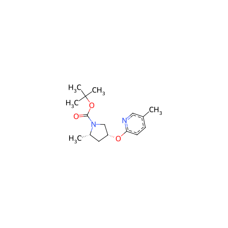 Cc1ccc(O[C@@H]2C[C@H](C)N(C(=O)OC(C)(C)C)C2)nc1